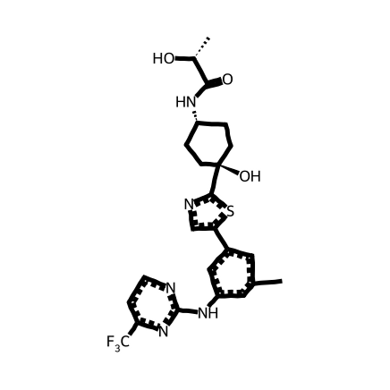 Cc1cc(Nc2nccc(C(F)(F)F)n2)cc(-c2cnc([C@]3(O)CC[C@H](NC(=O)[C@@H](C)O)CC3)s2)c1